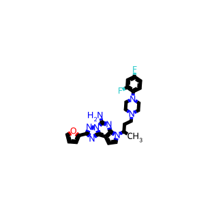 CC(CCN1CCN(c2ccc(F)cc2F)CC1)n1ccc2c1nc(N)n1nc(-c3ccco3)nc21